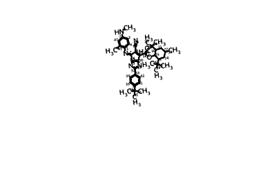 CNc1ccc(/N=C2\C(C#N)=C(C(=O)OC3C(C(C)(C)C)CC(C)CC3C(C)(C)C)c3nc(-c4ccc(C(C)(C)C)cc4)nn32)c(C)c1